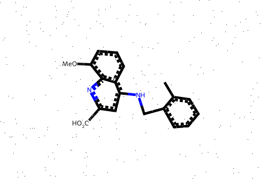 COc1cccc2c(NCc3ccccc3C)cc(C(=O)O)nc12